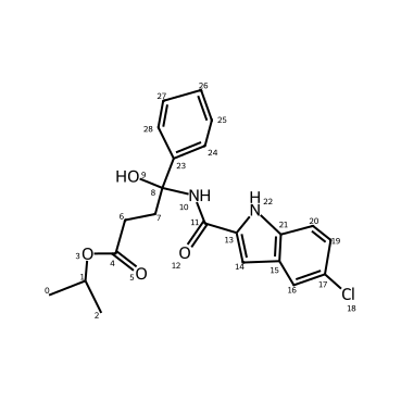 CC(C)OC(=O)CCC(O)(NC(=O)c1cc2cc(Cl)ccc2[nH]1)c1ccccc1